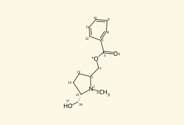 CN1C(COC(=O)c2ccccc2)CC[C@H]1CO